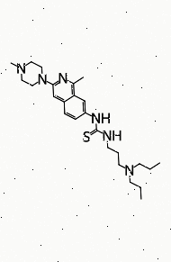 CCCN(CCC)CCCNC(=S)Nc1ccc2cc(N3CCN(C)CC3)nc(C)c2c1